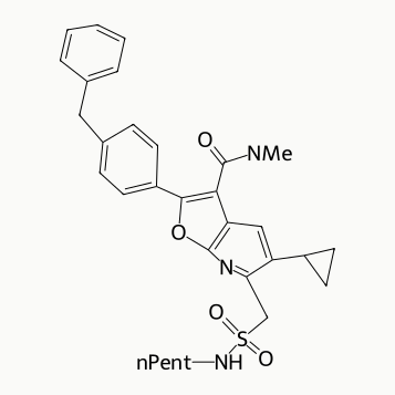 CCCCCNS(=O)(=O)Cc1nc2oc(-c3ccc(Cc4ccccc4)cc3)c(C(=O)NC)c2cc1C1CC1